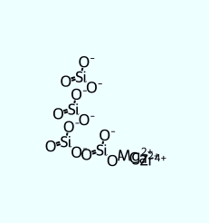 O=[Si]([O-])[O-].O=[Si]([O-])[O-].O=[Si]([O-])[O-].O=[Si]([O-])[O-].[Ca+2].[Mg+2].[Zr+4]